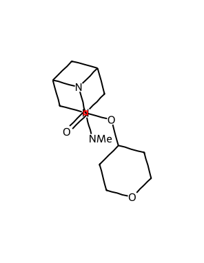 CNN1CC2CC(C1)N2C(=O)OC1CCOCC1